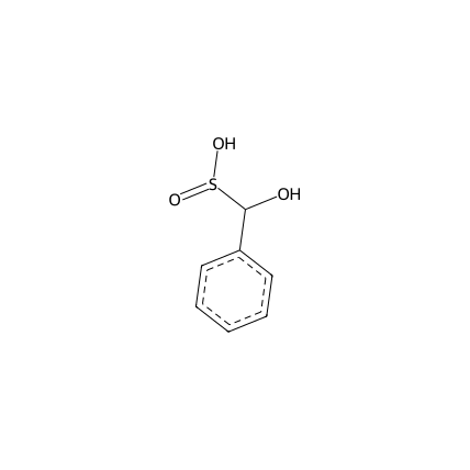 O=S(O)C(O)c1ccccc1